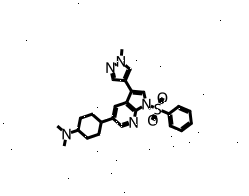 CN(C)C1CCC(c2cnc3c(c2)c(-c2cnn(C)c2)cn3S(=O)(=O)c2ccccc2)CC1